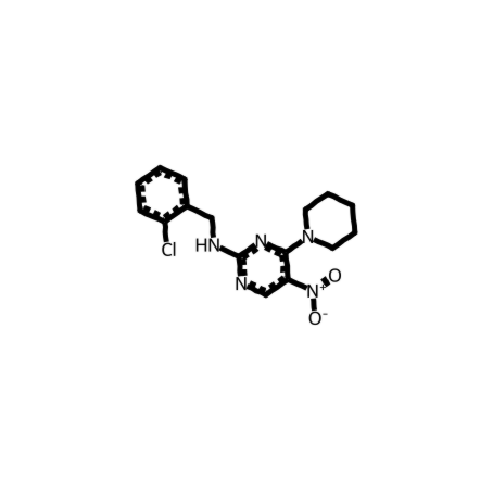 O=[N+]([O-])c1cnc(NCc2ccccc2Cl)nc1N1CCCCC1